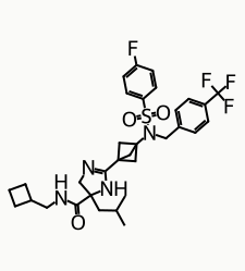 CC(C)CC1(C(=O)NCC2CCC2)CN=C(C23CC(N(Cc4ccc(C(F)(F)F)cc4)S(=O)(=O)c4ccc(F)cc4)(C2)C3)N1